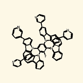 Fc1c(-n2c3ccccc3c3ccccc32)c(-n2c3ccc(-c4cccnc4)cc3c3cc(-c4cccnc4)ccc32)cc(-n2c3ccc(-c4cccnc4)cc3c3cc(-c4cccnc4)ccc32)c1-n1c2ccccc2c2ccccc21